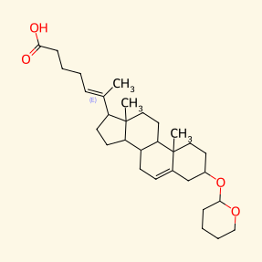 C/C(=C\CCCC(=O)O)C1CCC2C3CC=C4CC(OC5CCCCO5)CCC4(C)C3CCC12C